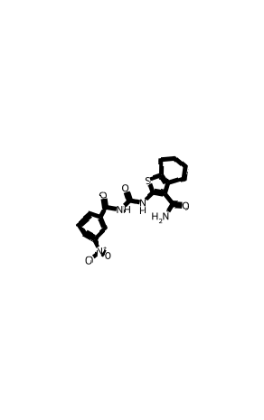 NC(=O)c1c(NC(=O)NC(=O)c2cccc([N+](=O)[O-])c2)sc2c1CCCC2